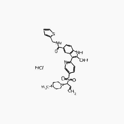 C=CC(N1CCN(C)CC1)S(=O)(=O)c1ccc(-c2c(O)[nH]c3ccc(C(=O)NCc4cccs4)cc23)nc1.Cl